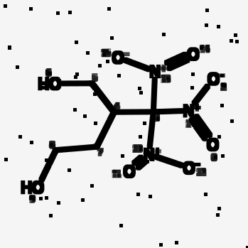 O=[N+]([O-])C(C(CO)CCO)([N+](=O)[O-])[N+](=O)[O-]